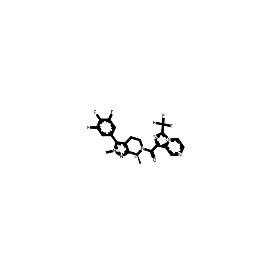 C[C@H]1c2nn(C)c(-c3cc(F)c(F)c(F)c3)c2CCN1C(=O)c1nc(C(F)(F)F)n2ccncc12